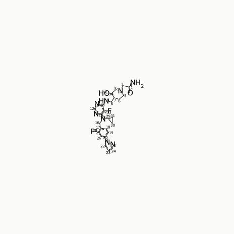 NC(=O)CN1CCC(CNc2ncnc(N(Cc3ccc(-n4cccn4)cc3F)C3CC3)c2F)C(O)C1